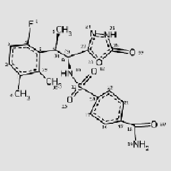 Cc1ccc(F)c([C@@H](C)[C@H](NS(=O)(=O)c2ccc(C(N)=O)cc2)c2n[nH]c(=O)o2)c1C